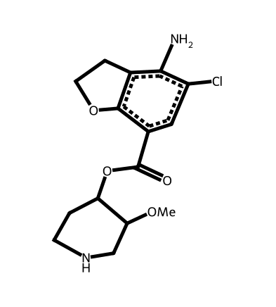 COC1CNCCC1OC(=O)c1cc(Cl)c(N)c2c1OCC2